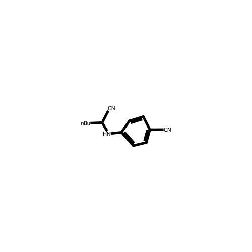 CCCCC(C#N)Nc1ccc(C#N)cc1